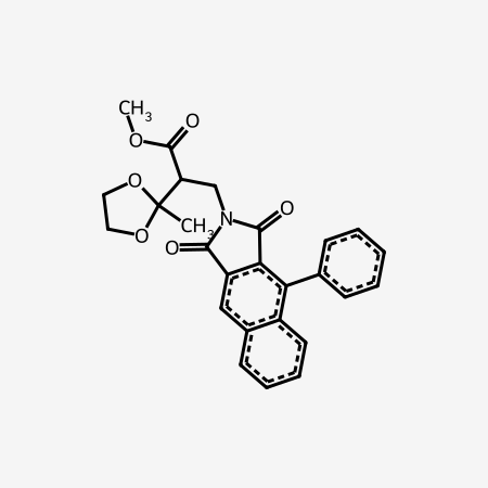 COC(=O)C(CN1C(=O)c2cc3ccccc3c(-c3ccccc3)c2C1=O)C1(C)OCCO1